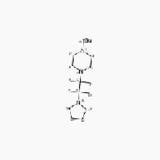 CC(C)(C)N1CCN(C(C)(C)C(C)(C)N2CCCC2)CC1